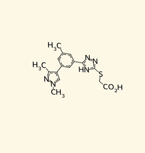 Cc1cc(-c2nnc(SCC(=O)O)[nH]2)cc(-c2cn(C)nc2C)c1